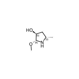 CO[C@H]1N[C@@H](C)C[C@@H]1O